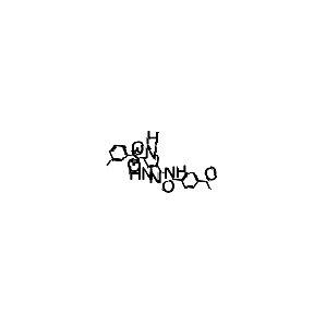 CC(=O)c1ccc(C(=O)Nc2n[nH]c3c2CNC3S(=O)(=O)c2cccc(C)c2)cc1